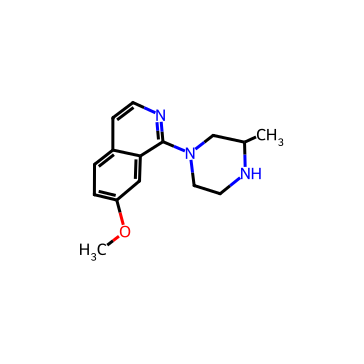 COc1ccc2ccnc(N3CCNC(C)C3)c2c1